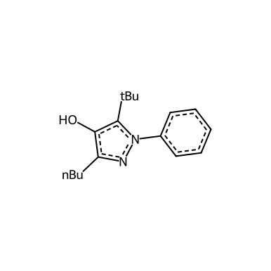 CCCCc1nn(-c2ccccc2)c(C(C)(C)C)c1O